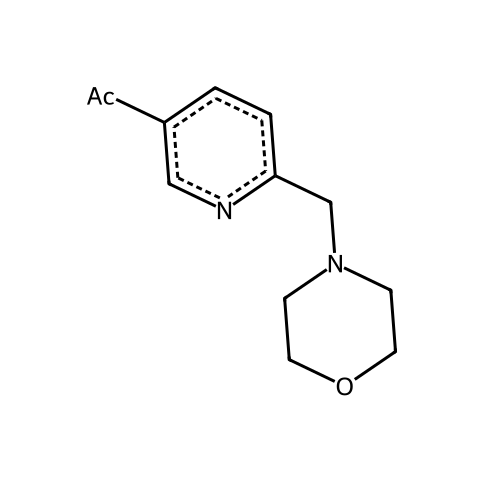 CC(=O)c1ccc(CN2CCOCC2)nc1